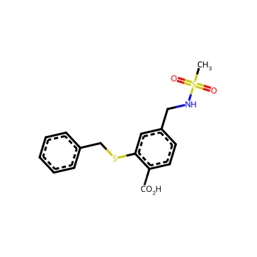 CS(=O)(=O)NCc1ccc(C(=O)O)c(SCc2ccccc2)c1